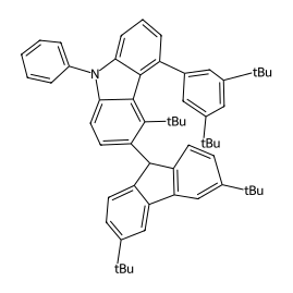 CC(C)(C)c1cc(-c2cccc3c2c2c(C(C)(C)C)c(C4c5ccc(C(C)(C)C)cc5-c5cc(C(C)(C)C)ccc54)ccc2n3-c2ccccc2)cc(C(C)(C)C)c1